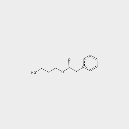 O=C(C[n+]1ccccc1)OCCCO